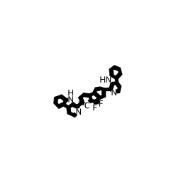 FC1(F)c2cc(-c3nccc4c3[nH]c3ccccc34)ccc2-c2ccc(-c3nccc4c3[nH]c3ccccc34)[13cH]c21